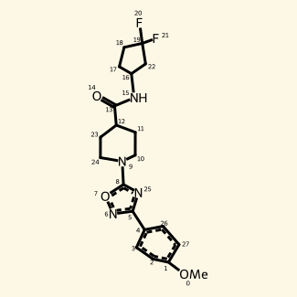 COc1ccc(-c2noc(N3CCC(C(=O)NC4CCC(F)(F)C4)CC3)n2)cc1